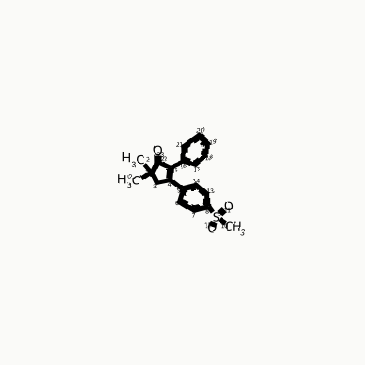 CC1(C)CC(c2ccc(S(C)(=O)=O)cc2)=C(c2ccccc2)C1=O